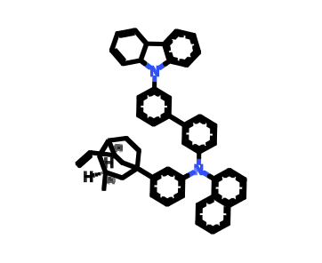 C=C[C@@H]1CC2(c3cccc(N(c4cccc(-c5cccc(N6c7ccccc7C7C=CC=CC76)c5)c4)c4cccc5ccccc45)c3)CCC1C[C@H](C)C2